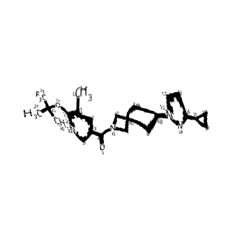 Cc1cc(C(=O)N2CC3(CC(n4ccc(C5CC5)n4)C3)C2)cnc1OC(C)(C)C(F)(F)F